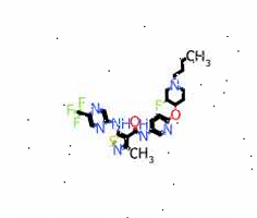 CCCCN1CC[C@H](Oc2ccc(NC(=O)c3c(C)nsc3Nc3cnc(C(F)(F)F)cn3)cn2)[C@@H](F)C1